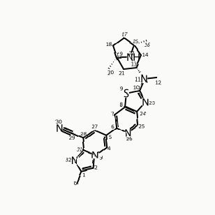 Cc1cn2cc(-c3cc4sc(N(C)[C@H]5C[C@]6(C)CC[C@](C)(C5)N6)nc4cn3)cc(C#N)c2n1